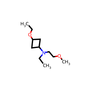 CCOC1CC(N(CC)CCOC)C1